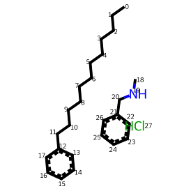 CCCCCCCCCCCCc1ccccc1.CNCc1ccccc1.Cl